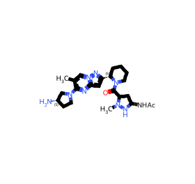 CC(=O)NC1CC(C(=O)N2CCCC[C@H]2c2cc3nc(N4CC[C@H](N)C4)c(C)cn3n2)N(C)N1